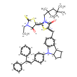 CC(C)(Cn1c(=O)/c(=C/c2ccc3c(c2)C2CCCC2N3c2ccc(C=C(c3ccccc3)c3ccccc3)cc2)s/c1=C1/SC(=S)N(CC(=O)O)C1=O)CC(C)(C)C(=O)O